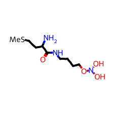 CSCCC(N)C(=O)NCCCCON(O)O